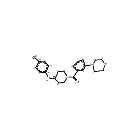 O=C(c1cc(N2CCOCC2)ccn1)N1CCC(Oc2ccc(Cl)cc2)CC1